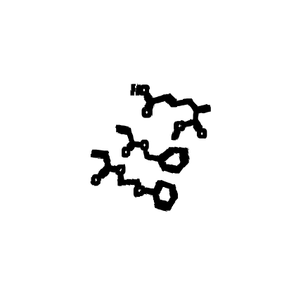 C=C(CC=CC(=O)O)C(=O)OC.C=CC(=O)OCCOc1ccccc1.C=CC(=O)OCc1ccccc1